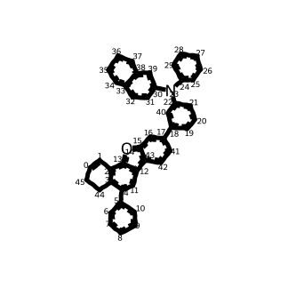 C1=Cc2c(c(-c3ccccc3)cc3c2oc2cc(-c4cccc(N(c5ccccc5)c5ccc6ccccc6c5)c4)ccc23)CC1